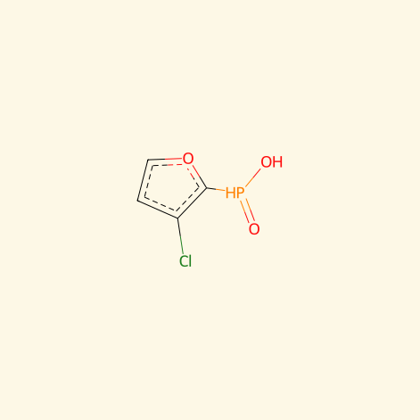 O=[PH](O)c1occc1Cl